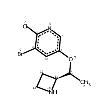 CC(Oc1cnc(Cl)c(Br)c1)[C@@H]1CCN1